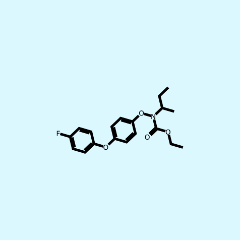 CCOC(=O)N(Oc1ccc(Oc2ccc(F)cc2)cc1)C(C)CC